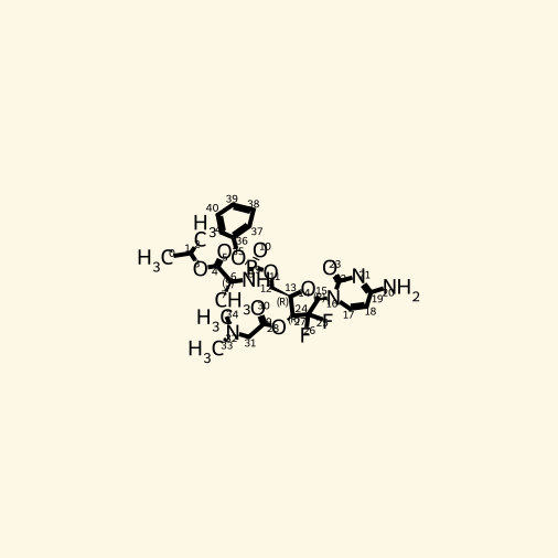 CC(C)OC(=O)[C@H](C)NP(=O)(OC[C@H]1O[C@@H](n2ccc(N)nc2=O)C(F)(F)[C@@H]1OC(=O)CN(C)C)Oc1ccccc1